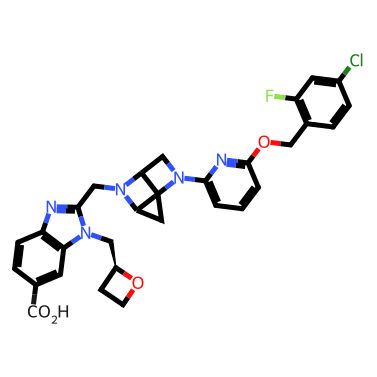 O=C(O)c1ccc2nc(CN3C4CN(c5cccc(OCc6ccc(Cl)cc6F)n5)C45CC35)n(C[C@@H]3CCO3)c2c1